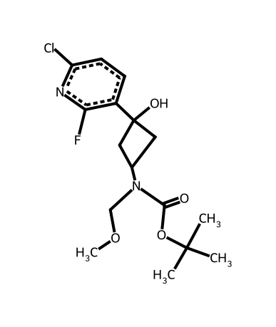 COCN(C(=O)OC(C)(C)C)C1CC(O)(c2ccc(Cl)nc2F)C1